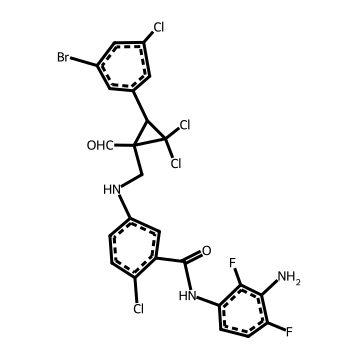 Nc1c(F)ccc(NC(=O)c2cc(NCC3(C=O)C(c4cc(Cl)cc(Br)c4)C3(Cl)Cl)ccc2Cl)c1F